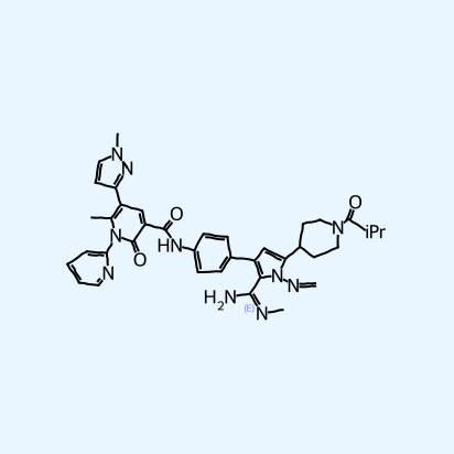 C=Nn1c(C2CCN(C(=O)C(C)C)CC2)cc(-c2ccc(NC(=O)c3cc(-c4ccn(C)n4)c(C)n(-c4ccccn4)c3=O)cc2)c1/C(N)=N\C